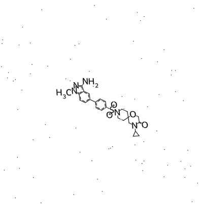 Cn1nc(N)c2cc(-c3ccc(S(=O)(=O)N4CCC5(CC4)CN(C4CC4)C(=O)CO5)cc3)ccc21